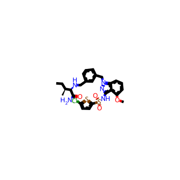 CC[C@H](C)[C@@H](NCc1cccc(Cn2nc(NS(=O)(=O)c3ccc(Cl)s3)c3c(OC)cccc32)c1)C(N)=O